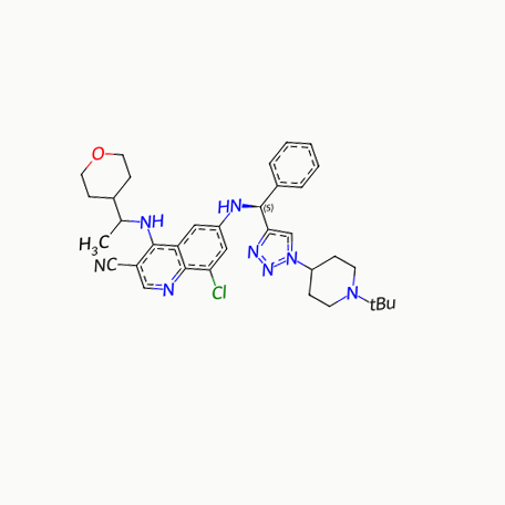 CC(Nc1c(C#N)cnc2c(Cl)cc(N[C@@H](c3ccccc3)c3cn(C4CCN(C(C)(C)C)CC4)nn3)cc12)C1CCOCC1